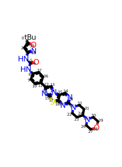 CC(C)(C)c1cc(NC(=O)Nc2ccc(-c3cn4c(n3)sc3nc(N5CCC(N6CCOCC6)CC5)ncc34)cc2)no1